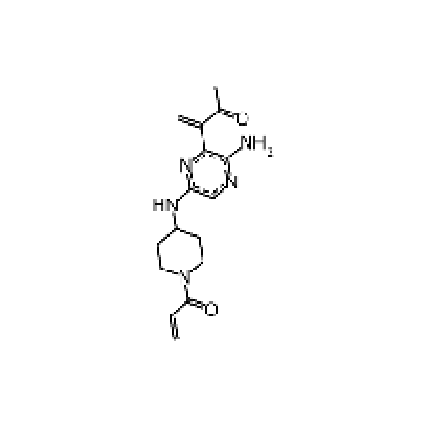 C=CC(=O)N1CCC(Nc2cnc(N)c(C(=C)C(C)=O)n2)CC1